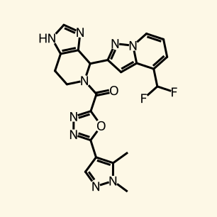 Cc1c(-c2nnc(C(=O)N3CCc4[nH]cnc4C3c3cc4c(C(F)F)cccn4n3)o2)cnn1C